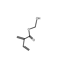 C=CC(=C)C(=O)OCO